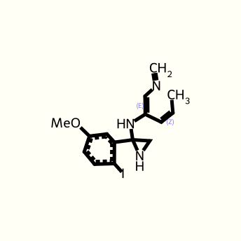 C=N/C=C(\C=C/C)NC1(c2cc(OC)ccc2I)CN1